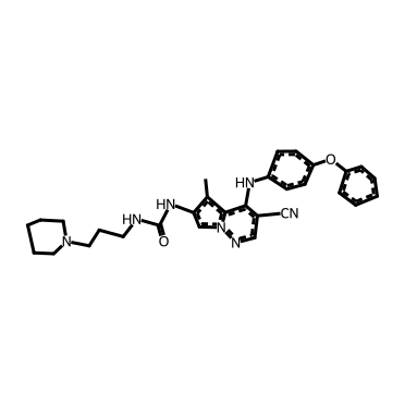 Cc1c(NC(=O)NCCCN2CCCCC2)cn2ncc(C#N)c(Nc3ccc(Oc4ccccc4)cc3)c12